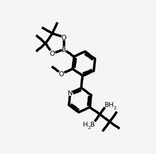 BC(B)(c1ccnc(-c2cccc(B3OC(C)(C)C(C)(C)O3)c2OC)c1)C(C)(C)C